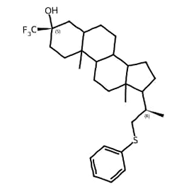 C[C@@H](CSc1ccccc1)C1CCC2C3CCC4C[C@](O)(C(F)(F)F)CCC4(C)C3CCC21C